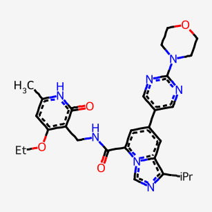 CCOc1cc(C)[nH]c(=O)c1CNC(=O)c1cc(-c2cnc(N3CCOCC3)nc2)cc2c(C(C)C)ncn12